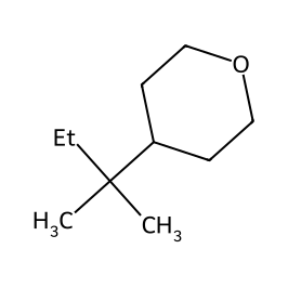 CCC(C)(C)C1CCOCC1